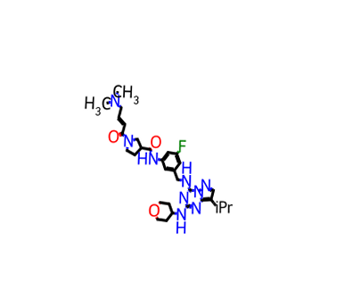 CC(C)c1cnn2c(NCc3cc(F)cc(NC(=O)C4CCN(C(=O)C=CCN(C)C)C4)c3)nc(NC3CCOCC3)nc12